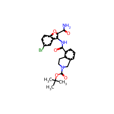 CC(C)(C)OC(=O)N1CCc2c(cccc2C(=O)Nc2c(C(N)=O)oc3ccc(Br)cc23)C1